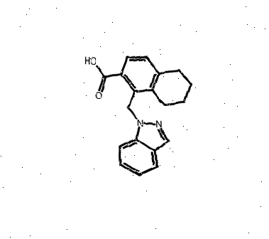 O=C(O)c1ccc2c(c1Cn1ncc3ccccc31)CCCC2